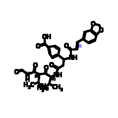 CC(C)[C@@H](C(=O)NC=O)C(=O)[C@@H](NC(=O)CC(NC(=O)/C=C/c1ccc2c(c1)OCO2)c1ccc(C(=O)O)cc1)C(C)C